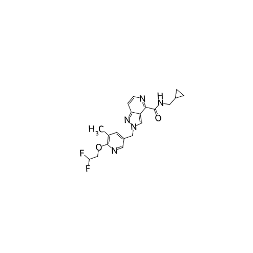 Cc1cc(Cn2cc3c(C(=O)NCC4CC4)nccc3n2)cnc1OCC(F)F